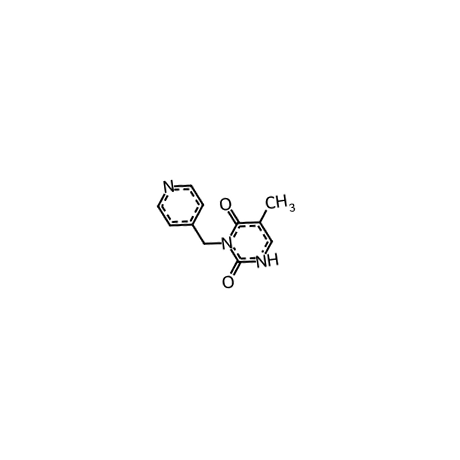 Cc1c[nH]c(=O)n(Cc2ccncc2)c1=O